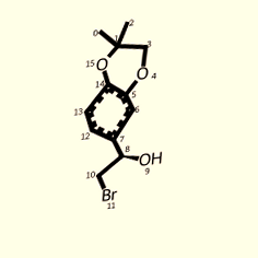 CC1(C)COc2cc([C@@H](O)CBr)ccc2O1